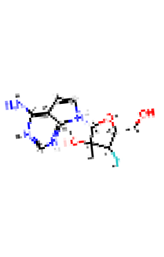 CC1(O)C(F)[C@@H](CO)O[C@H]1n1ccc2c(N)ncnc21